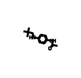 CC(=O)Nc1ccc(NCC(C)(C)C)cc1